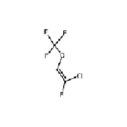 FC(Cl)=COC(F)(F)F